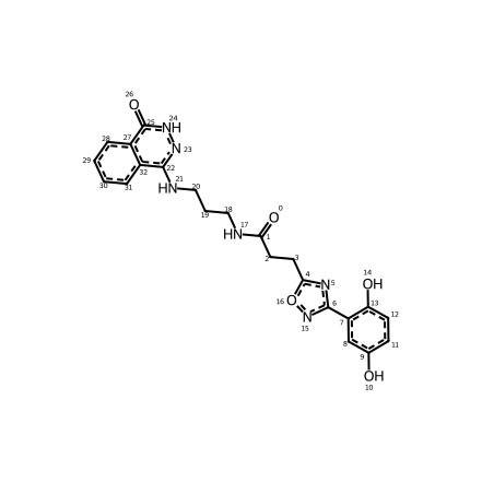 O=C(CCc1nc(-c2cc(O)ccc2O)no1)NCCCNc1n[nH]c(=O)c2ccccc12